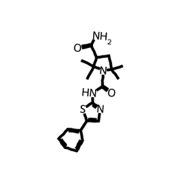 CC1(C)CC(C(N)=O)C(C)(C)N1C(=O)Nc1ncc(-c2ccccc2)s1